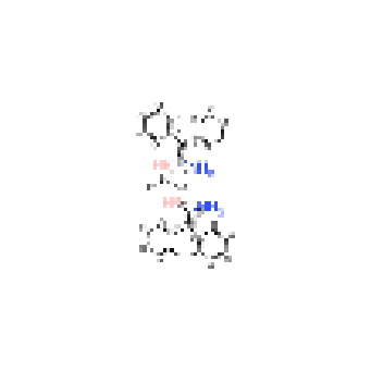 CC(BC(N)=C(c1ccccc1)c1ccccc1)CBC(N)=C(c1ccccc1)c1ccccc1